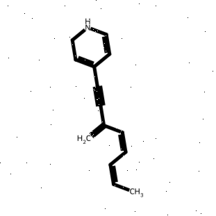 C=C(C#CC1=CCNC=C1)/C=C\C=C/C